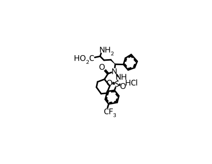 Cl.NC(CC[C@@H](c1ccccc1)N(NS(=O)(=O)c1ccc(C(F)(F)F)cc1)C(=O)C1CCCCC1)C(=O)O